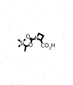 CC(OC(=O)N1CCC1C(=O)O)[Si](C)(C)C